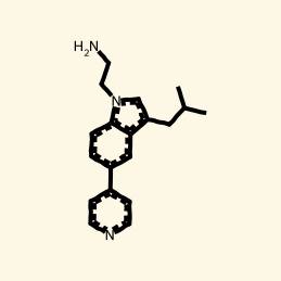 CC(C)Cc1cn(CCN)c2ccc(-c3ccncc3)cc12